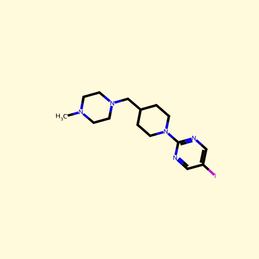 CN1CCN(CC2CCN(c3ncc(I)cn3)CC2)CC1